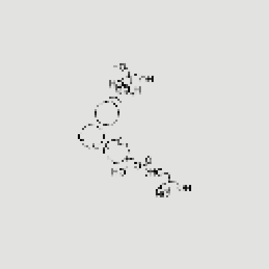 C1CCCCCCCCC1.C1CCCCCCCCC1.C=C(C)C(=O)O.C=C(C)C(=O)OCC1(CO)CCCCCCCCC1.OCC(CO)(CO)CO.OCC(CO)(CO)CO